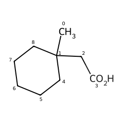 CC1(CC(=O)O)CCCCC1